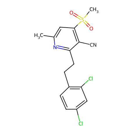 Cc1cc(S(C)(=O)=O)c(C#N)c(CCc2ccc(Cl)cc2Cl)n1